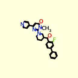 Cn1c(N2CCCC(C(=O)c3ccc(-c4ccccc4)cc3F)C2)nc(-c2ccncc2)cc1=O